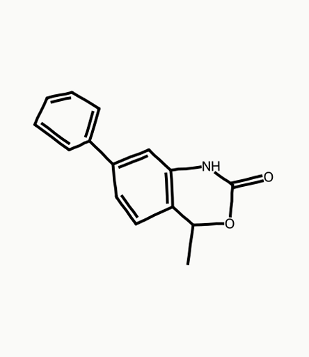 CC1OC(=O)Nc2cc(-c3ccccc3)ccc21